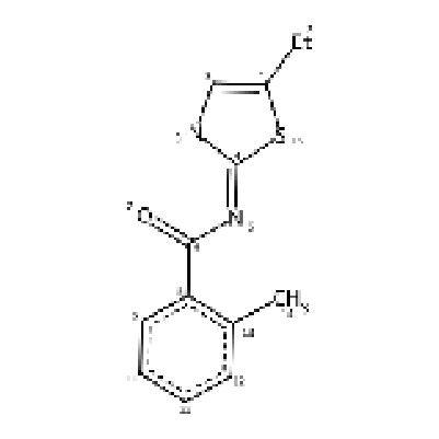 CCC1=C[N]C(=NC(=O)c2ccccc2C)S1